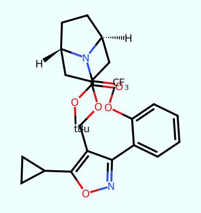 CC(C)(C)OC(=O)N1[C@H]2CC[C@H]1CC(OCc1c(-c3ccccc3OC(F)(F)F)noc1C1CC1)C2